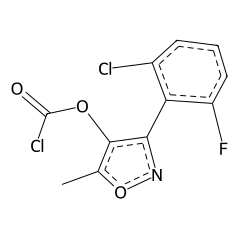 Cc1onc(-c2c(F)cccc2Cl)c1OC(=O)Cl